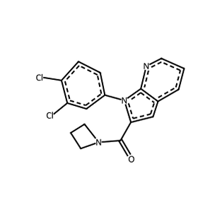 O=C(c1cc2cccnc2n1-c1ccc(Cl)c(Cl)c1)N1CCC1